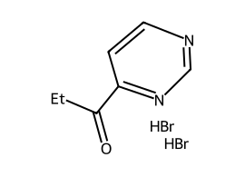 Br.Br.CCC(=O)c1ccncn1